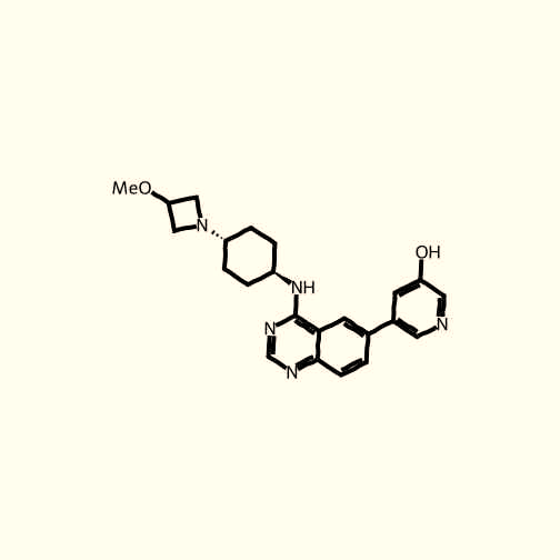 COC1CN([C@H]2CC[C@H](Nc3ncnc4ccc(-c5cncc(O)c5)cc34)CC2)C1